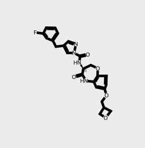 O=C1Nc2cc(OCC3COC3)ccc2OC[C@@H]1NC(=O)n1cc(Cc2cccc(F)c2)cn1